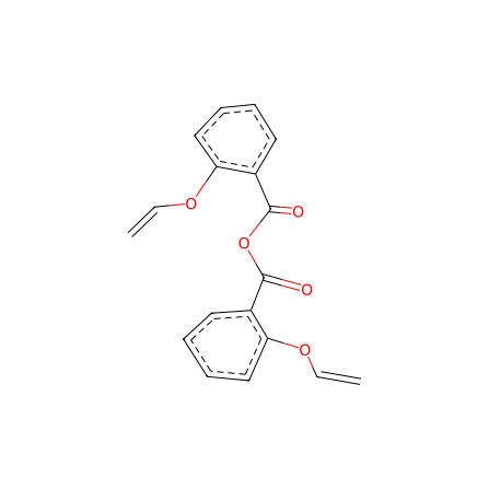 C=COc1ccccc1C(=O)OC(=O)c1ccccc1OC=C